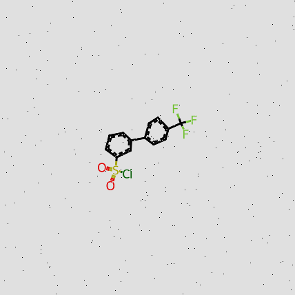 O=S(=O)(Cl)c1cccc(-c2ccc(C(F)(F)F)cc2)c1